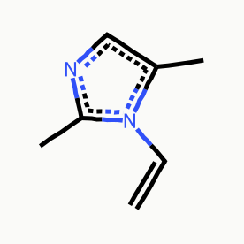 C=Cn1c(C)cnc1C